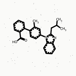 Cc1cc(-n2c(CC(C)C)nc3ccccc32)ccc1-c1ccccc1C(=O)O